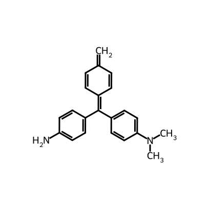 C=c1ccc(=C(c2ccc(N)cc2)c2ccc(N(C)C)cc2)cc1